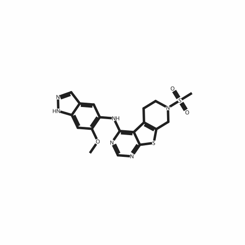 COc1cc2[nH]ncc2cc1Nc1ncnc2sc3c(c12)CCN(S(C)(=O)=O)C3